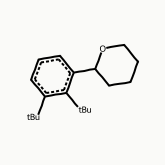 CC(C)(C)c1cccc(C2CCCCO2)c1C(C)(C)C